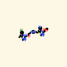 Cc1sc2c(c1C)C(c1ccc(Cl)cc1)=NC(CNC(=O)CCCN1CCN(CCc3sc4c(c3C)C(c3ccncc3)=NC(CC(=O)OC(C)(C)C)c3nnc(C)n3-4)CC1)c1nnc(C)n1-2